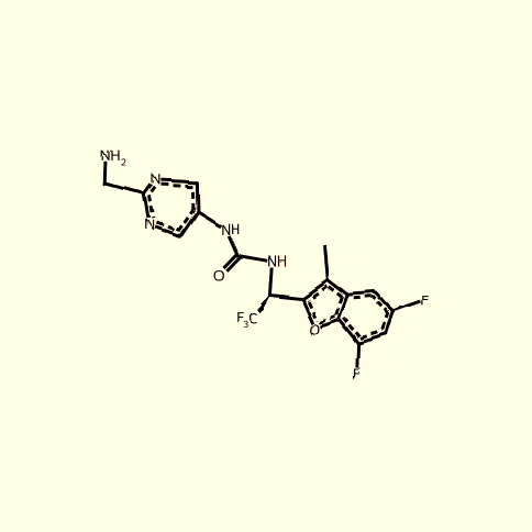 Cc1c([C@H](NC(=O)Nc2cnc(CN)nc2)C(F)(F)F)oc2c(F)cc(F)cc12